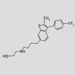 Cc1sc2cc(CCCCNCCO)ccc2c1-c1ccc(C(F)(F)F)cc1